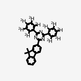 [2H]c1c([2H])c([2H])c(-c2nc(-c3ccc4c(c3)C(C)(C)c3ccccc3-4)nc(-c3c([2H])c([2H])c([2H])c([2H])c3[2H])n2)c([2H])c1[2H]